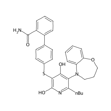 CCCCc1nc(O)c(Sc2ccc(-c3ccccc3C(N)=O)cc2)c(O)c1N1CCCOc2ccccc21